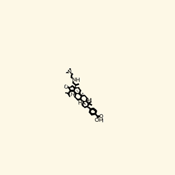 CC(C)C1=C2[C@H]3CC[C@@H]4[C@@]5(C)CC=C(c6ccc(C(=O)O)cc6)C(C)(C)[C@@H]5CC[C@@]4(C)[C@]3(C)CC[C@@]2(C(C)CNCCN(C)C)CC1=O